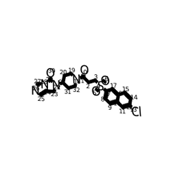 O=C(CCS(=O)(=O)c1ccc2cc(Cl)ccc2c1)N1CCC(N2Cc3cncn3C2=O)CC1